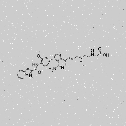 COc1cc(-c2csc3c(C=CCNCCNCC(=O)O)cnc(N)c23)ccc1NC(=O)c1cc2ccccc2n1C